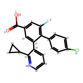 O=C(O)c1cc(F)c(-c2ccc(Cl)cc2)c(-c2cccnc2C2CC2)c1